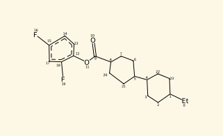 CCC1CCC(C2CCC(C(=O)Oc3ccc(F)cc3F)CC2)CC1